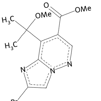 COC(=O)c1cnn2cc(Br)nc2c1C(C)(C)OC